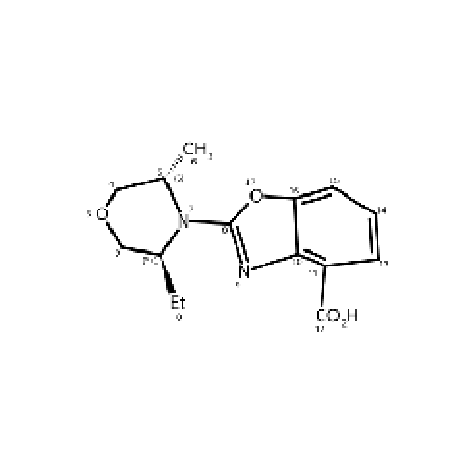 CC[C@H]1COC[C@H](C)N1c1nc2c(C(=O)O)cccc2o1